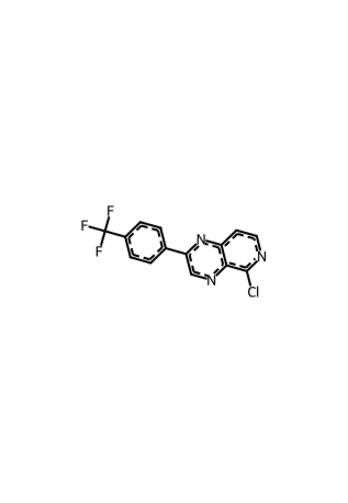 FC(F)(F)c1ccc(-c2cnc3c(Cl)nccc3n2)cc1